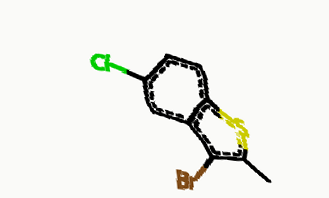 Cc1sc2ccc(Cl)cc2c1Br